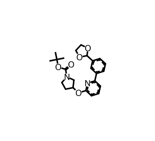 CC(C)(C)OC(=O)N1CCC(Oc2cccc(-c3cccc(C4OCCO4)c3)n2)C1